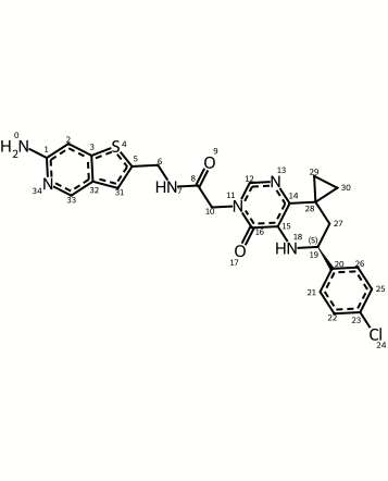 Nc1cc2sc(CNC(=O)Cn3cnc4c(c3=O)N[C@H](c3ccc(Cl)cc3)CC43CC3)cc2cn1